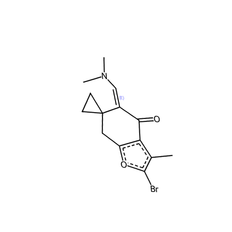 Cc1c(Br)oc2c1C(=O)/C(=C/N(C)C)C1(CC1)C2